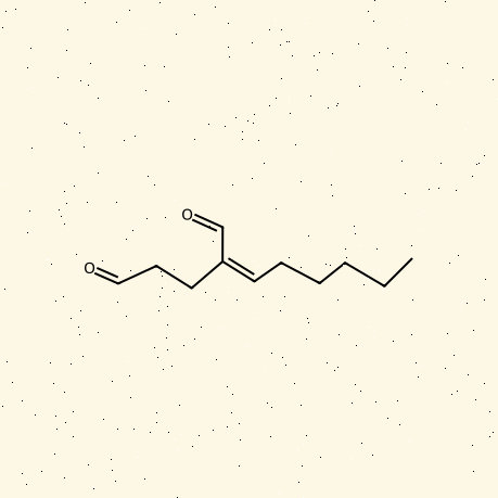 CCCCC/C=C(\C=O)CCC=O